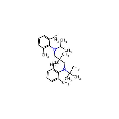 Cc1cccc(C)c1N(CC(C)(C)CN(c1c(C)cccc1C)C(C)(C)C)C(C)C